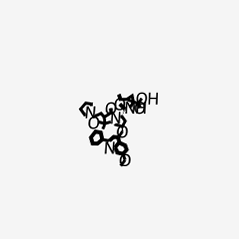 C=CC1CC1(NC(=O)[C@@H]1C[C@@H](Oc2cc(-c3ccccc3)nc3cc(OC)ccc23)CN1C(=O)C(CC(=O)N1CCCC1)C(C)(C)C)C(=O)O